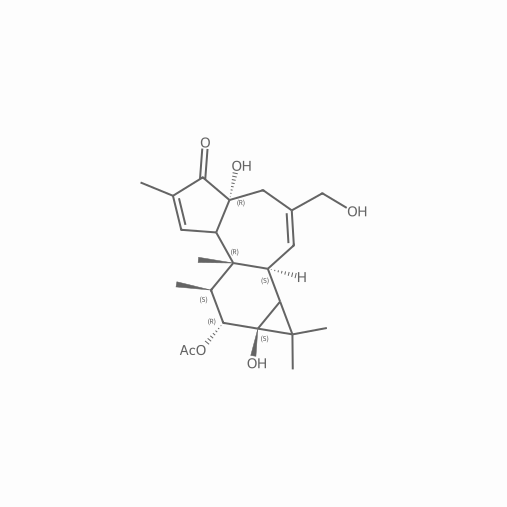 CC(=O)O[C@@H]1[C@@H](C)[C@]2(C)C3C=C(C)C(=O)[C@@]3(O)CC(CO)=C[C@H]2C2C(C)(C)[C@@]21O